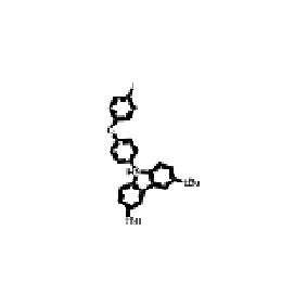 CC(C)(C)c1ccc2c(c1)-c1cc(C(C)(C)C)ccc1[SH]2c1ccc(Oc2ccc(I)cc2)cc1